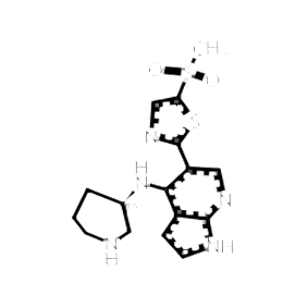 CS(=O)(=O)c1cnc(-c2cnc3[nH]ccc3c2N[C@@H]2CCCNC2)s1